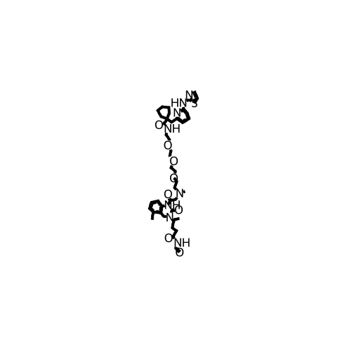 Cc1cccc(NC(=O)CN(C)CCOCCOCCOCCNC(=O)C2(Cc3cccc(Nc4nccs4)n3)CCCCC2)c1CN(C=O)C(C)CCC(=O)NC=O